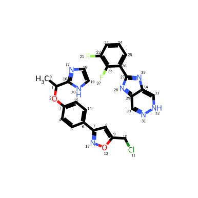 CC(Oc1ccc(-c2cc(CCl)on2)cc1)c1ncc[nH]1.Fc1cccc(-c2nc3cn[nH]cc-3n2)c1F